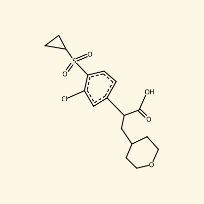 O=C(O)C(CC1CCOCC1)c1ccc(S(=O)(=O)C2CC2)c(Cl)c1